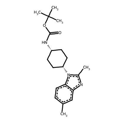 Cc1ccc2c(c1)nc(C)n2[C@H]1CC[C@@H](NC(=O)OC(C)(C)C)CC1